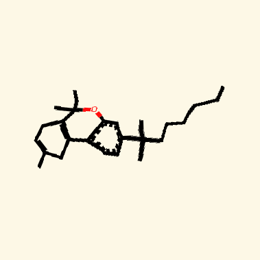 CCCCCCC(C)(C)c1ccc2c(c1)OC(C)(C)C1=C2CC(C)=CC1